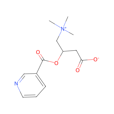 C[N+](C)(C)CC(CC(=O)[O-])OC(=O)c1cccnc1